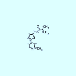 C=C(C)C(=O)SCC1CSC(c2cccc(C)c2)S1